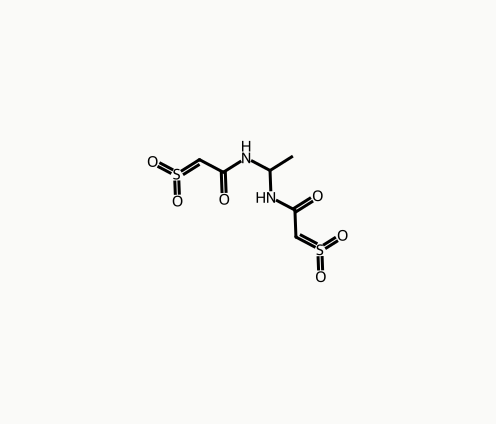 CC(NC(=O)C=S(=O)=O)NC(=O)C=S(=O)=O